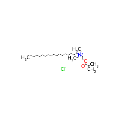 C=C(C)C(=O)OCC[N+](CC)(CC)CCCCCCCCCCCCCCCCCC.[Cl-]